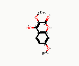 CCCCCCCCCCOc1c(O)c2ccc(OC(C)C)cc2oc1=O